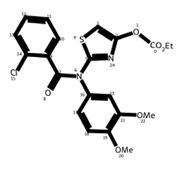 CCOC(=O)Oc1csc(N(C(=O)c2ccccc2Cl)c2ccc(OC)c(OC)c2)n1